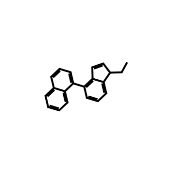 CCC1C=Cc2c(-c3cccc4ccccc34)cccc21